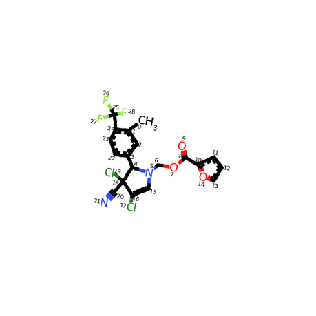 Cc1cc(C2N(COC(=O)c3ccco3)C=C(Cl)C2(Cl)C#N)ccc1C(F)(F)F